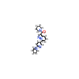 O=C(c1cnn2c(-c3ccc(N4CC5CCC4C5)nc3)cccc12)N1CCCCC1